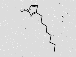 CCCCCCCCc1cc[s+]([O-])n1